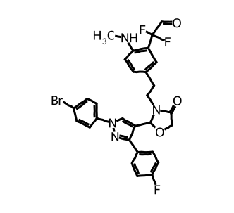 CNc1ccc(CCN2C(=O)COC2c2cn(-c3ccc(Br)cc3)nc2-c2ccc(F)cc2)cc1C(F)(F)C=O